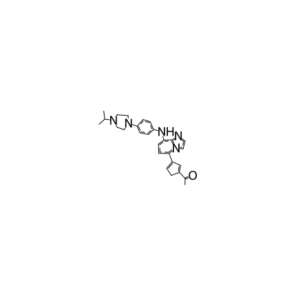 CC(=O)C1=CC(c2ccc(Nc3ccc(N4CCN(C(C)C)CC4)cc3)c3nccn23)=CC1